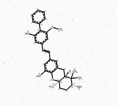 COc1cc(/C=C/c2cc(O)c3c(c2)C[C@@H]2C(C)(C)[C@H](O)CC[C@@]2(C)O3)cc(O)c1-c1ccccc1